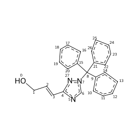 OCC=Cc1ncn(C(c2ccccc2)(c2ccccc2)c2ccccc2)n1